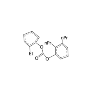 CCCc1cccc(OC(=O)Oc2ccccc2CC)c1CCC